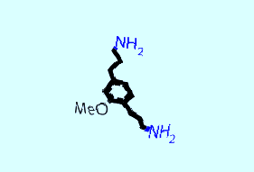 COc1cc(CCCN)ccc1CCCN